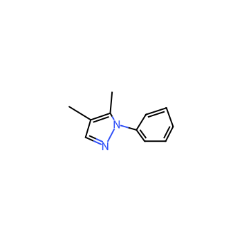 Cc1cnn(-c2ccccc2)c1C